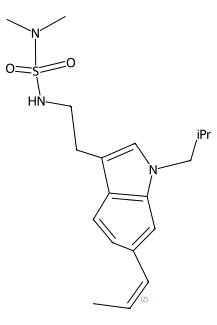 C/C=C\c1ccc2c(CCNS(=O)(=O)N(C)C)cn(CC(C)C)c2c1